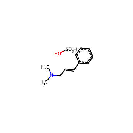 CN(C)CC=Cc1ccccc1.O=S(=O)(O)O